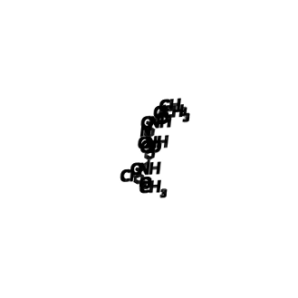 COc1ccc(Cl)c(C(=O)NCCc2ccc(S(=O)(=O)NC(=O)c3ccc(C(=O)NCC(=O)OC(C)C)nc3)cc2)c1